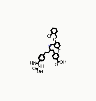 N=C(NC(=O)O)c1ccc(CCC(/C=C\c2cc(F)ccc2OCc2ccccc2Cl)Cc2ccc(C(=O)O)cc2)cc1